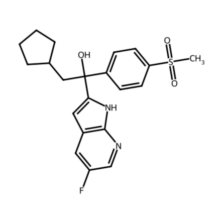 CS(=O)(=O)c1ccc(C(O)(CC2CCCC2)c2cc3cc(F)cnc3[nH]2)cc1